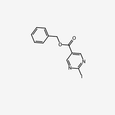 O=C(OCc1ccccc1)c1cnc(I)nc1